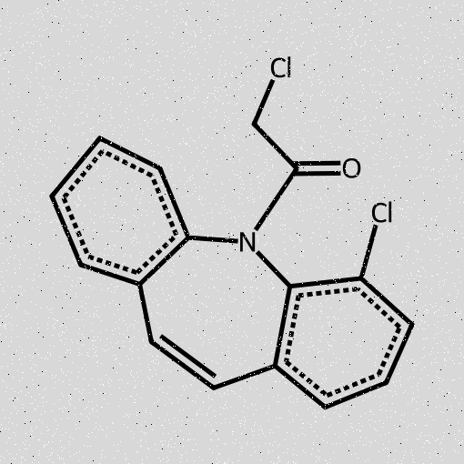 O=C(CCl)N1c2ccccc2C=Cc2cccc(Cl)c21